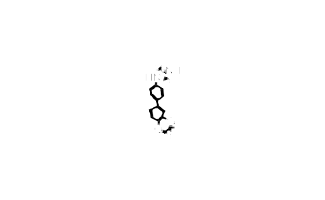 NS(=O)(=O)Nc1ccc(-c2ccc3c(c2)OC(F)(F)C(F)(F)O3)cc1